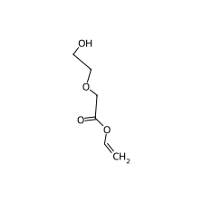 C=COC(=O)COCCO